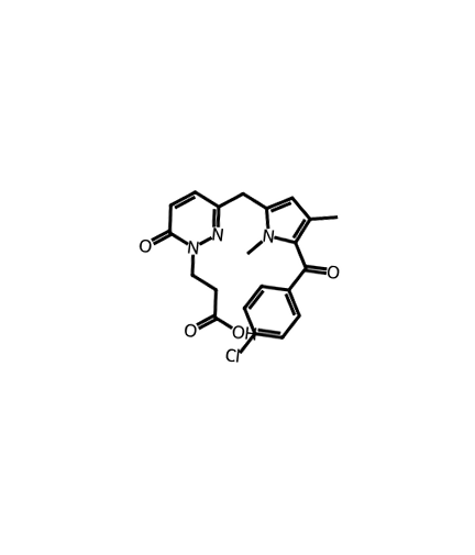 Cc1cc(Cc2ccc(=O)n(CCC(=O)O)n2)n(C)c1C(=O)c1ccc(Cl)cc1